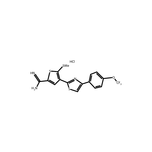 CSc1sc(C(=N)N)cc1-c1nc(-c2ccc(OC(F)(F)F)cc2)cs1.Cl